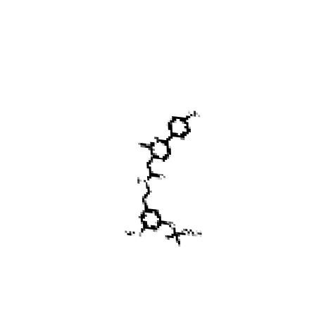 COc1cc(CCNC(=O)Cc2ccc(-c3ccc(C(F)(F)F)cc3)nc2C)cc(OC(C)(C)C(=O)O)c1